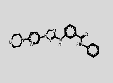 O=C(Nc1ccccc1)c1cccc(NC2=NN(c3ccc(N4CCOCC4)nc3)CO2)c1